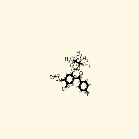 CCSNc1cc(B2OC(C)(C)C(C)(C)O2)c(C(=O)c2ccc(F)cc2)cc1Cl